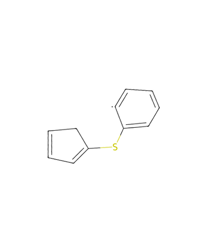 [c]1ccccc1SC1=CC=CC1